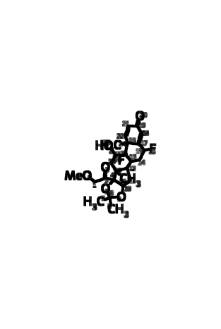 COCC(=O)C12OC(C)(C)OC1CC1C3CC(F)C4=CC(=O)C=CC4(C)C3(F)C(O)CC12C